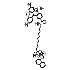 CN(C)c1ccc2c(-c3cc(C(=O)NCCCCCCCCCCC(=O)OP(=O)(O)Oc4cccc5ccccc45)ccc3C(=O)O)c3ccc(=[N+](C)C)cc-3oc2c1